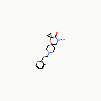 CC(C)N1CC2(CCN(CCc3ncccc3F)CC2)OC2(CC2)C1=O